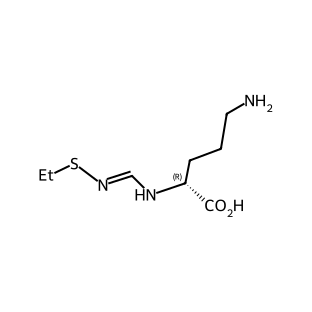 CCSN=CN[C@H](CCCN)C(=O)O